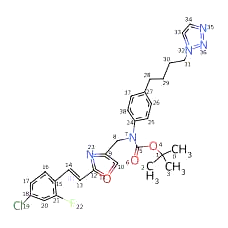 CC(C)(C)OC(=O)N(Cc1coc(/C=C/c2ccc(Cl)cc2F)n1)c1ccc(CCCCn2ccnn2)cc1